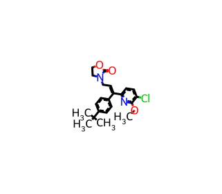 COc1nc(/C(=C/CN2CCOC2=O)c2ccc(C(C)(C)C)cc2)ccc1Cl